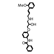 COc1ccccc1C=CCNCC(O)COc1cccc(NC(=O)c2ccccc2)c1